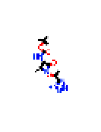 CC(ON1C(=O)[C@@H](NC(=O)OC(C)(C)C)[C@@H]1C)c1nnn[nH]1